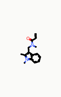 C=CC(=O)N(C)Cc1c(C)n(C)c2ccccc12